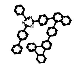 C1=CC2c3ccccc3-c3cc(-c4ccc(-c5c(-c6ccc(-c7nc(-c8ccccc8)nc(-c8ccc(-c9ccccc9)cc8)n7)cc6)ccc6ccccc56)cc4)ccc3C2C=C1